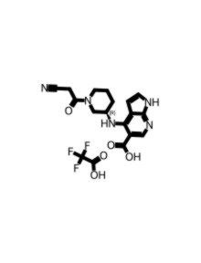 N#CCC(=O)N1CCC[C@@H](Nc2c(C(=O)O)cnc3[nH]ccc23)C1.O=C(O)C(F)(F)F